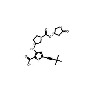 CC(C)(C)C#Cc1cc(N[C@H]2CCN(C(=O)O[C@@H]3CNC(=O)C3)C2)c(C(=O)O)s1